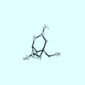 CN1C[C@]2(CO)O[C@@H](O)C(O1)[C@H]2O